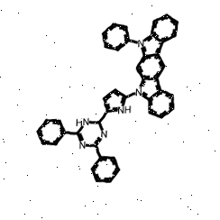 c1ccc(C2=NC(c3ccc(-n4c5ccccc5c5cc6c7ccccc7n(-c7ccccc7)c6cc54)[nH]3)NC(c3ccccc3)=N2)cc1